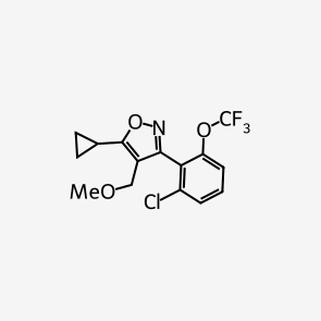 COCc1c(-c2c(Cl)cccc2OC(F)(F)F)noc1C1CC1